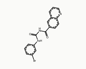 O=C(NC(=O)c1ccc2ncccc2c1)[AsH]c1cccc(Br)c1